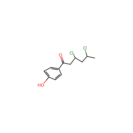 CC(Cl)CC(Cl)CC(=O)c1ccc(O)cc1